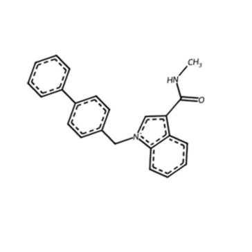 CNC(=O)c1cn(Cc2ccc(-c3ccccc3)cc2)c2ccccc12